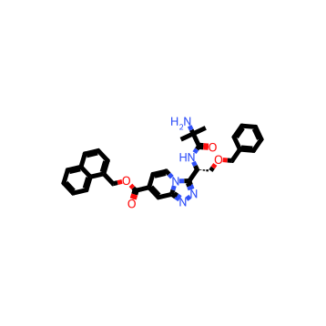 CC(C)(N)C(=O)N[C@H](COCc1ccccc1)c1nnc2cc(C(=O)OCc3cccc4ccccc34)ccn12